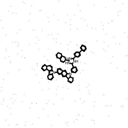 C1=CC2C=Cc3c(c4c(n3-c3ccc5cc6c(cc5c3)C3C=CCCC3N6c3cccc(C5NC(c6ccc(-c7ccccc7)cc6)NC(C6C=CC7=C(CCC=C7)C6)N5)c3)C=CCC4)C2C=C1